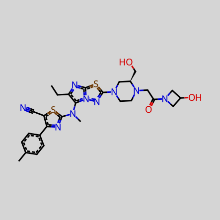 CCc1nc2sc(N3CCN(CC(=O)N4CC(O)C4)[C@H](CO)C3)nn2c1N(C)c1nc(-c2ccc(C)cc2)c(C#N)s1